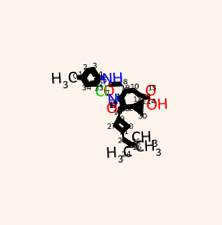 Cc1ccc(NC(=O)C[C@H](CCC(=O)O)c2noc([C@H]3C[C@@H](CC(C)(C)C)C3)c2C2CC2)c(Cl)c1